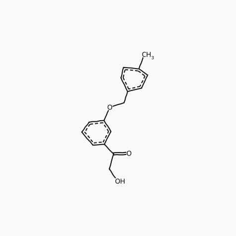 Cc1ccc(COc2cccc(C(=O)CO)c2)cc1